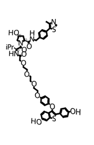 Cc1ncsc1-c1ccc(CNC(=O)[C@@H]2C[C@@H](O)CN2C(=O)[C@@H](NC(=O)COCCOCCOCCOc2ccc(Oc3c(-c4ccc(O)cc4)sc4cc(O)ccc34)cc2)C(C)C)cc1